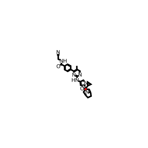 Cc1cnc(Nc2cnn(C3CC4CCC(C3)N4C(=O)C3CC3)c2)nc1-c1ccc(C(=O)NCC#N)cc1